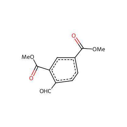 COC(=O)c1ccc(C=O)c(C(=O)OC)c1